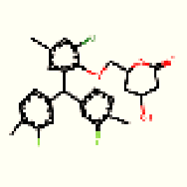 Cc1cc(Cl)c(OCC2CC(O)CC(=O)O2)c(C(c2ccc(C)c(F)c2)c2ccc(C)c(F)c2)c1